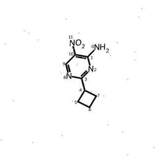 Nc1nc(C2CCC2)ncc1[N+](=O)[O-]